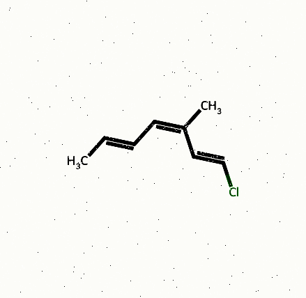 C/C=C/C=C(C)\C=C\Cl